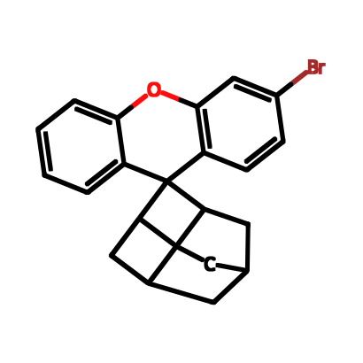 Brc1ccc2c(c1)Oc1ccccc1C21C2CC3CC4CC1C42C3